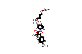 CCCCCCCCCCOCCCCS(=O)(=O)Nc1cccc(NC(=O)C(Cl)(OC)C(=O)c2ccc(OC)cc2)c1